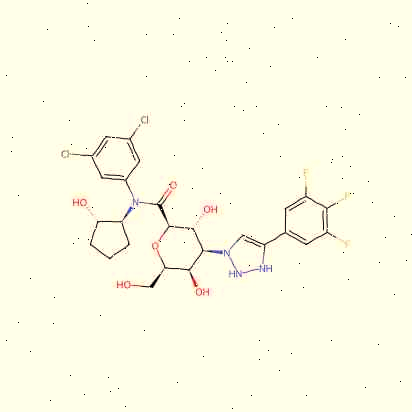 O=C([C@@H]1O[C@H](CO)[C@H](O)[C@H](N2C=C(c3cc(F)c(F)c(F)c3)NN2)[C@H]1O)N(c1cc(Cl)cc(Cl)c1)[C@H]1CCC[C@@H]1O